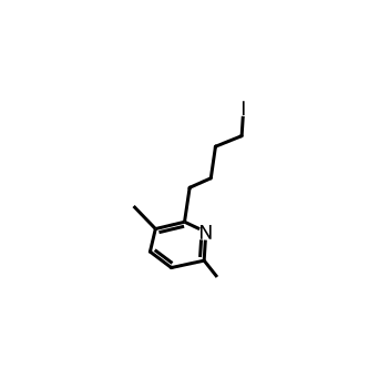 Cc1ccc(C)c(CCCCI)n1